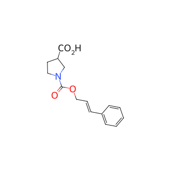 O=C(O)C1CCN(C(=O)OCC=Cc2ccccc2)C1